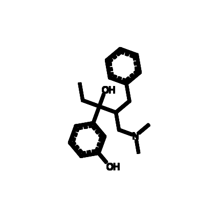 CCC(O)(c1cccc(O)c1)C(Cc1ccccc1)CN(C)C